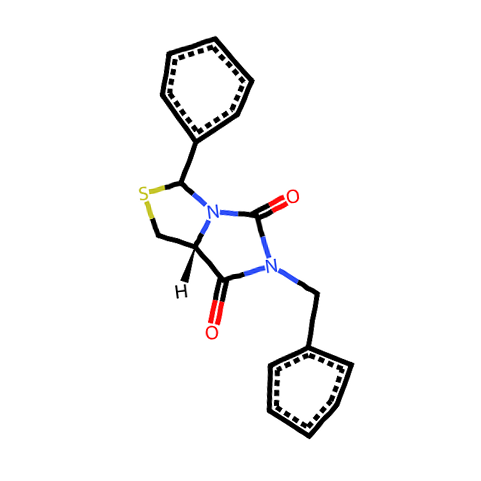 O=C1[C@@H]2CSC(c3ccccc3)N2C(=O)N1Cc1ccccc1